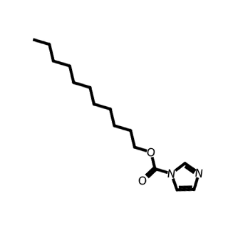 CCCCCCCCCCCOC(=O)n1ccnc1